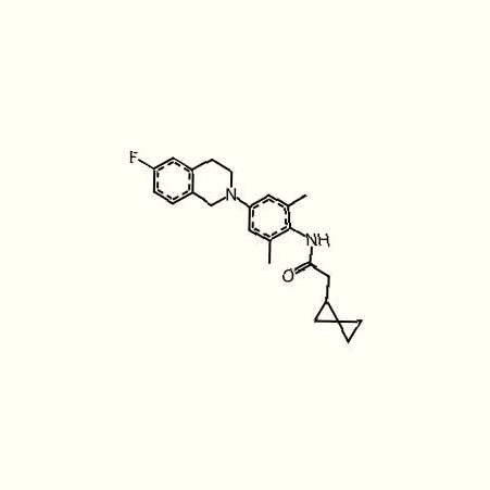 Cc1cc(N2CCc3cc(F)ccc3C2)cc(C)c1NC(=O)CC1CC12CC2